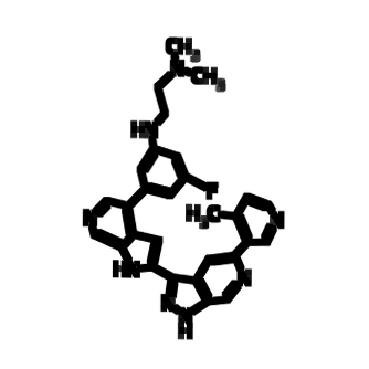 Cc1ccncc1-c1cc2c(-c3cc4c(-c5cc(F)cc(NCCN(C)C)c5)cncc4[nH]3)n[nH]c2cn1